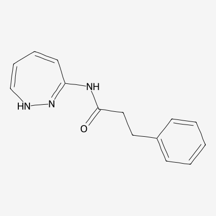 O=C(CCc1ccccc1)NC1=NNC=CC=C1